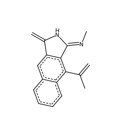 C=C1N/C(=N\C)c2c1cc1ccccc1c2C(=C)C